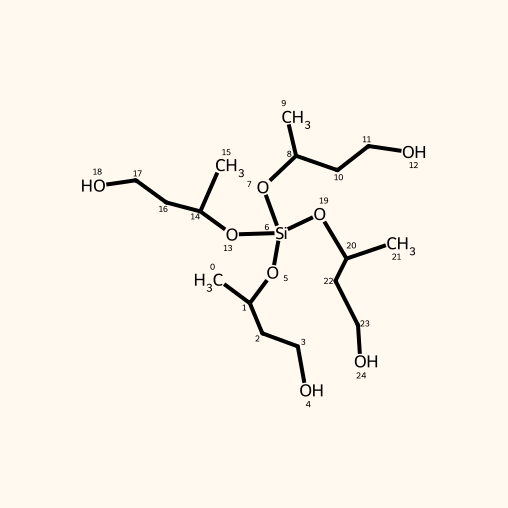 CC(CCO)O[Si](OC(C)CCO)(OC(C)CCO)OC(C)CCO